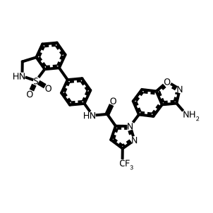 Nc1noc2ccc(-n3nc(C(F)(F)F)cc3C(=O)Nc3ccc(-c4cccc5c4S(=O)(=O)NC5)cc3)cc12